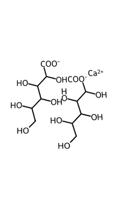 O=C([O-])C(O)C(O)C(O)C(O)CO.O=C([O-])C(O)C(O)C(O)C(O)CO.[Ca+2]